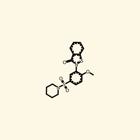 COc1ccc(S(=O)(=O)N2CCCCC2)cc1-n1sc2ccccc2c1=O